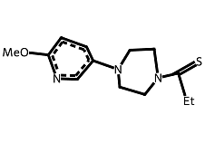 CCC(=S)N1CCN(c2ccc(OC)nc2)CC1